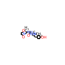 C[C@@H](CN1C(=O)C=CC1=O)NC(=O)NC[C@H](Cc1ccc(O)cc1)N(C)C